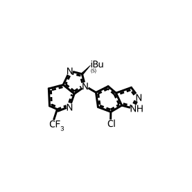 CC[C@H](C)c1nc2ccc(C(F)(F)F)nc2n1-c1cc(Cl)c2[nH]ncc2c1